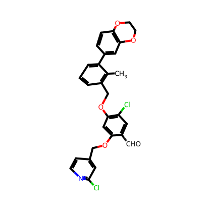 Cc1c(COc2cc(OCc3ccnc(Cl)c3)c(C=O)cc2Cl)cccc1-c1ccc2c(c1)OCCO2